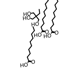 CCC(CO)(CO)CO.CCCCCCCCCC(=O)O.CCCCCCCCCC(=O)O.CCCCCCCCCC(=O)O